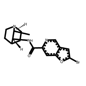 C[C@H]1[C@H](NC(=O)c2cc3oc(Br)cc3cn2)C2CCN1CC2